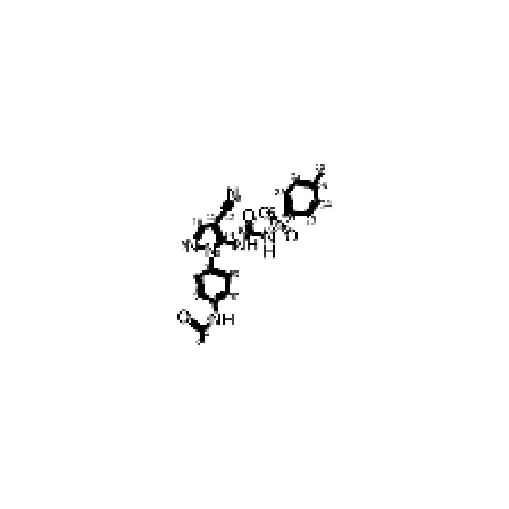 CC(=O)Nc1ccc(-n2ncc(C#N)c2NC(=O)NS(=O)(=O)c2ccc(C)cc2)cc1